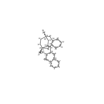 Clc1nc2ccccc2cc1CN1C[C@@H]2CC[C@H]1Cc1ccccc1C2